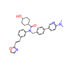 CN(C)c1ccc(-c2ccc(CN(C(=O)C3CCC(O)CC3)c3cccc(C=Cc4ncco4)c3)cc2)cn1